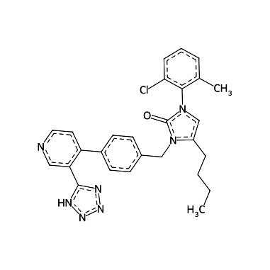 CCCCc1cn(-c2c(C)cccc2Cl)c(=O)n1Cc1ccc(-c2ccncc2-c2nnn[nH]2)cc1